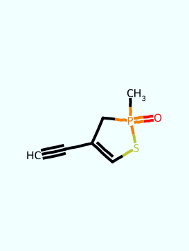 C#CC1=CSP(C)(=O)C1